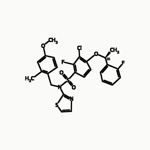 COc1ccc(CN(c2nccs2)S(=O)(=O)c2ccc(O[C@@H](C)c3ccccc3F)c(Cl)c2F)c(C)c1